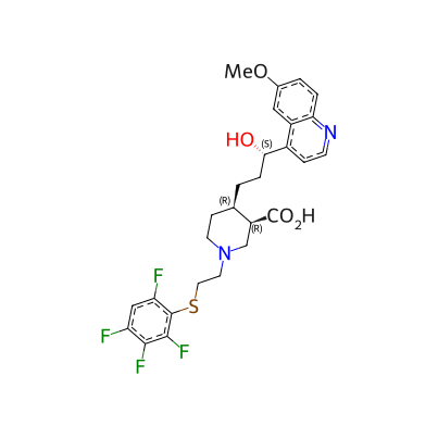 COc1ccc2nccc([C@@H](O)CC[C@@H]3CCN(CCSc4c(F)cc(F)c(F)c4F)C[C@@H]3C(=O)O)c2c1